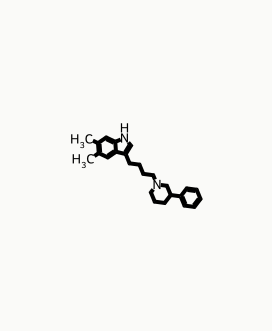 Cc1cc2[nH]cc(CCCCN3CCCC(c4ccccc4)C3)c2cc1C